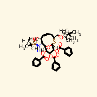 C[C@@H]1/C=C\C[C@@H](CO[Si](C)(C)C(C)(C)C)S[C@H]2O[C@H]([C@@H]1N[S@+]([O-])C(C)(C)C)[C@H](OC(=O)c1ccccc1)[C@H](OC(=O)c1ccccc1)[C@H]2OC(=O)c1ccccc1